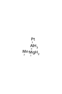 [AlH3].[MgH2].[Mn].[Pt]